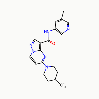 Cc1cncc(NC(=O)c2cnn3ccc(N4CCC(C(F)(F)F)CC4)nc23)c1